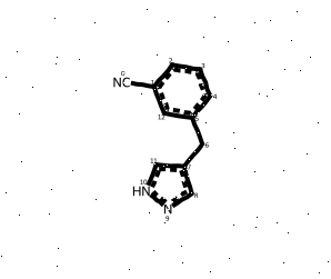 N#Cc1cccc(Cc2cn[nH]c2)c1